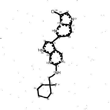 FC1(CNc2ncc3c(-c4ccc5ncc(Cl)n5n4)c[nH]c3n2)CCCCC1